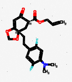 C=CCOC(=O)[C@@H]1C[C@]2(CCc3cc(F)c(N(C)C)cc3F)OCOC2=CC1=O